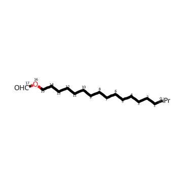 CC(C)CCCCCCCCCCCCCCCOC=O